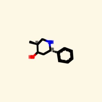 C[C@H]1CN[C@H](c2ccccc2)CC1O